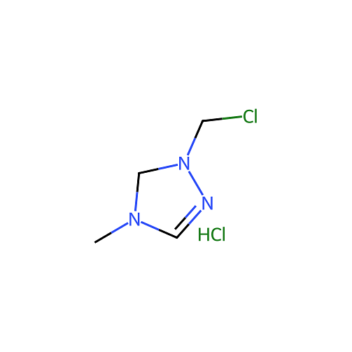 CN1C=NN(CCl)C1.Cl